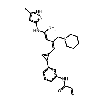 C=CC(=O)Nc1cccc(C2C=C2/C=C(\C=C(/N)Nc2cc(C)[nH]n2)CN2CCCCC2)c1